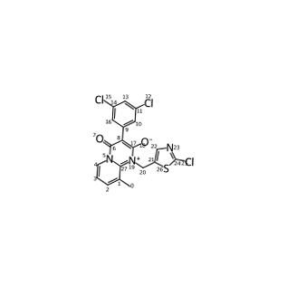 Cc1cccn2c(=O)c(-c3cc(Cl)cc(Cl)c3)c([O-])[n+](Cc3cnc(Cl)s3)c12